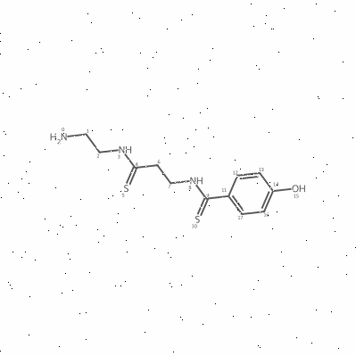 NCCNC(=S)CCNC(=S)c1ccc(O)cc1